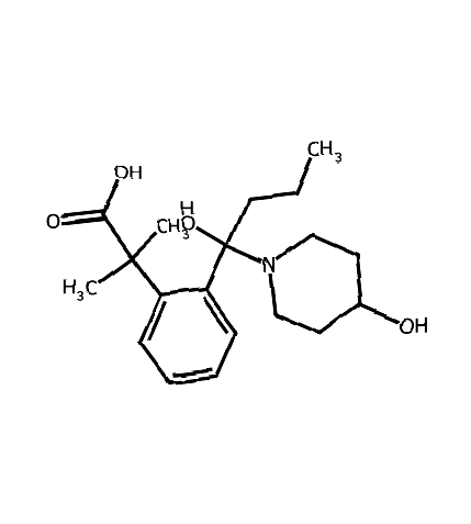 CCCC(O)(c1ccccc1C(C)(C)C(=O)O)N1CCC(O)CC1